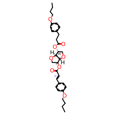 CCCCOc1ccc(/C=C/C(=O)O[C@@H]2CO[C@@H]3[C@H]2OC[C@H]3OC(=O)CCc2ccc(OCCCC)cc2)cc1